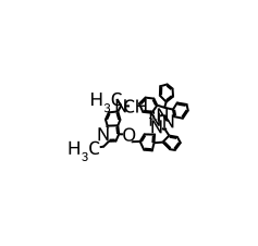 CCc1cc(OCc2ccc(-c3ccccc3-c3nnn(C(c4ccccc4)(c4ccccc4)c4ccccc4)n3)cc2)c2cc(N(C)C)ccc2n1